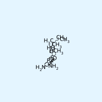 CC(C)CCC[C@@H](C)[C@H]1CC[C@H]2[C@@H]3CC=C4C[C@@H](OC(F)(F)C(F)(F)C(F)(F)c5ccc(N)cc5N)CC[C@]4(C)[C@H]3CC[C@]12C